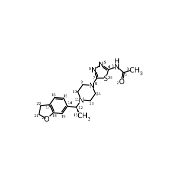 CC(=O)Nc1nnc(N2CCN([C@@H](C)c3ccc4c(c3)OCC4)CC2)s1